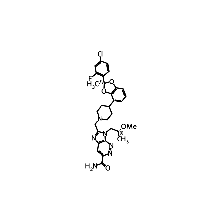 CO[C@H](C)Cn1c(CN2CCC(c3cccc4c3O[C@@](C)(c3ccc(Cl)cc3F)O4)CC2)nc2cc(C(N)=O)nnc21